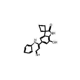 N=C/C=C(\Nc1ccccc1)c1cc(O)c2c(c1)C1(CCC1)C(=O)N2